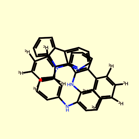 [2H]c1c([2H])c([2H])c(-c2cccc(-c3c([2H])c([2H])c([2H])c([2H])c3[2H])c2Nc2ccccc2Nc2cccc(-n3c4ccccc4c4cccnc43)c2)c([2H])c1[2H]